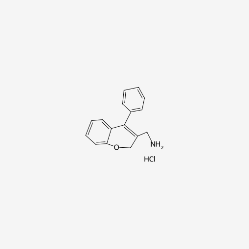 Cl.NCC1=C(c2ccccc2)c2ccccc2OC1